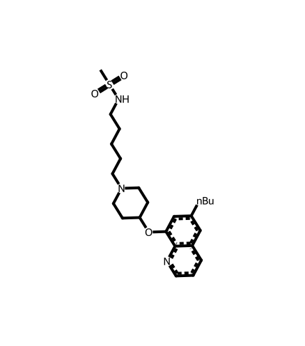 CCCCc1cc(OC2CCN(CCCCCNS(C)(=O)=O)CC2)c2ncccc2c1